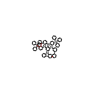 c1ccc(-c2cccc(N3c4cc([Si](c5ccccc5)(c5ccccc5)c5ccccc5)ccc4B4c5cccc(-c6ccccc6)c5N(c5cccc([Si](c6ccccc6)(c6ccccc6)c6ccccc6)c5)c5cc(-n6c7ccccc7c7ccccc76)cc3c54)c2)cc1